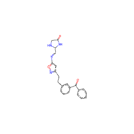 O=C1CNC(C=Nc2cc(CCc3cccc(C(=O)c4ccccc4)c3)no2)N1